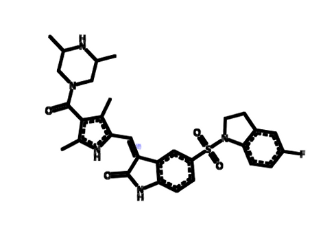 Cc1[nH]c(/C=C2\C(=O)Nc3ccc(S(=O)(=O)N4CCc5cc(F)ccc54)cc32)c(C)c1C(=O)N1CC(C)NC(C)C1